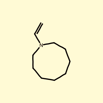 C=CN1CCCCCCCC1